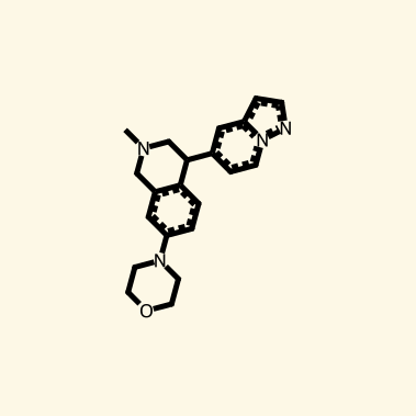 CN1Cc2cc(N3CCOCC3)ccc2C(c2ccn3nccc3c2)C1